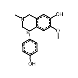 COc1cc2c(cc1O)CN(C)C[C@H]2c1ccc(O)cc1